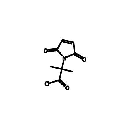 CC(C)(C(=O)Cl)N1C(=O)C=CC1=O